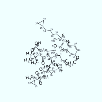 CCC[C@@H]1[C@@H](Oc2nc3cc(OC)ccc3nc2C(F)(F)CCCCC2CC2)CN(C(=O)[C@@H](NC(=O)O)C(C)(C)C)[C@@H]1C(=O)N[C@]1(C(=O)NS(=O)(=O)C2(C)CC2)C[C@H]1C(F)F